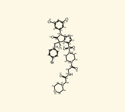 C[C@@]1(Cc2ccc(Br)cc2)C(=O)N(c2cc(Cl)cc(Cl)c2)c2ncc(S(=O)(=O)N3CCN(C(=O)CNC(=O)CN4CCOCC4)CC3)n21